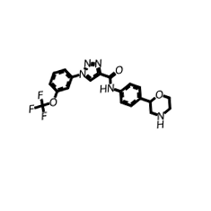 O=C(Nc1ccc(C2CNCCO2)cc1)c1cn(-c2cccc(OC(F)(F)F)c2)nn1